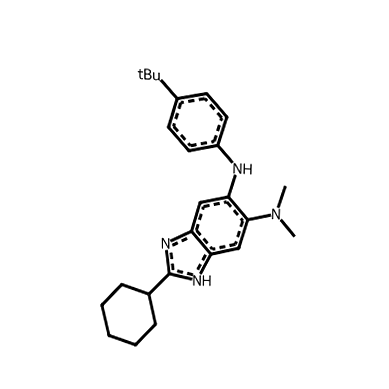 CN(C)c1cc2[nH]c(C3CCCCC3)nc2cc1Nc1ccc(C(C)(C)C)cc1